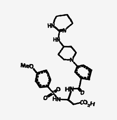 COc1ccc(S(=O)(=O)NC(CC(=O)O)NC(=O)c2cccc(N3CCC(NC4=NCCCN4)CC3)c2)cc1